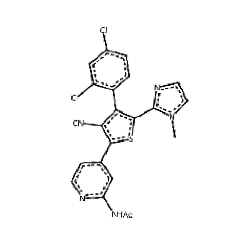 [C-]#[N+]c1c(-c2ccnc(NC(C)=O)c2)sc(-c2nccn2C)c1-c1ccc(Cl)cc1Cl